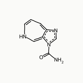 NC(=O)n1cnc2c1=CNC=CC=2